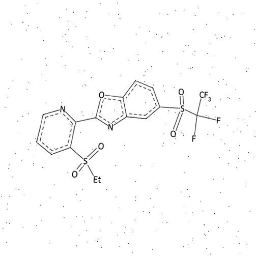 CCS(=O)(=O)c1cccnc1-c1nc2cc(S(=O)(=O)C(F)(F)C(F)(F)F)ccc2o1